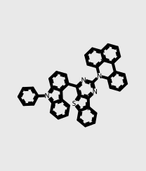 c1ccc(-n2c3ccccc3c3c(-c4nc(N5c6ccccc6-c6cccc7cccc5c67)nc5c4sc4ccccc45)cccc32)cc1